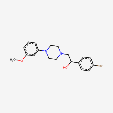 COc1cccc(N2CCN(CC(O)c3ccc(Br)cc3)CC2)c1